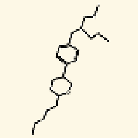 CCCCCC1CCC(c2ccc(CC(COC)COC)cc2)CO1